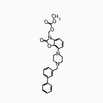 COC(=O)OCn1c(=O)oc2c(N3CCN(Cc4cccc(-c5ccccc5)c4)CC3)cccc21